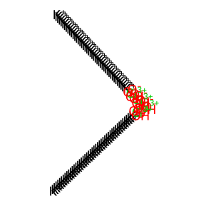 [K+].[K+].[K+].[K+].[K+].[K+].[K+].[K+].[K+].[K+].[K+].[K+].[K+].[K+].[K+].[K+].[K+].[K+].[K+].[K+].[K+].[K+].[K+].[K+].[K+].[K+].[K+].[K+].[K+].[K+].[K+].[K+].[K+].[K+].[K+].[K+].[K+].[K+].[K+].[K+].[K+].[K+].[K+].[K+].[K+].[K+].[K+].[K+].[K+].[K+].[K+].[K+].[K+].[K+].[K+].[K+].[K+].[K+].[K+].[K+].[K+].[K+].[K+].[K+].[K+].[K+].[K+].[K+].[K+].[K+].[K+].[K+].[K+].[K+].[K+].[K+].[K+].[K+].[K+].[K+].[K+].[K+].[K+].[K+].[K+].[K+].[K+].[O-][Cl+3]([O-])([O-])O.[O-][Cl+3]([O-])([O-])O.[O-][Cl+3]([O-])([O-])O.[O-][Cl+3]([O-])([O-])O